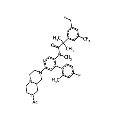 CC(=O)N1CCN2CCN(c3cc(-c4ccc(F)cc4C)c(N(C)C(=O)C(C)(C)c4cc(CF)cc(C(F)(F)F)c4)cn3)CC2C1